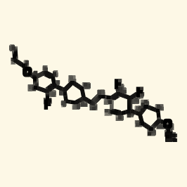 C=CCOc1ccc(C2CCC(/C=C/c3ccc(C4CCC(OCC)CC4)c(F)c3F)CC2)c(F)c1